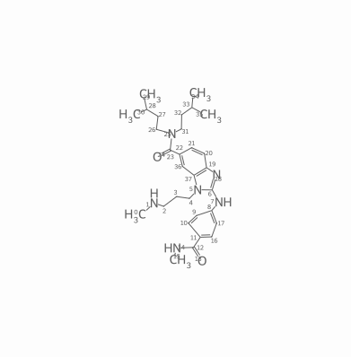 CNCCCn1c(Nc2ccc(C(=O)NC)cc2)nc2ccc(C(=O)N(CCC(C)C)CCC(C)C)cc21